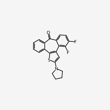 O=c1c2ccccc2c2sc(N3CCCC3)cc2c2c(F)c(F)ccc12